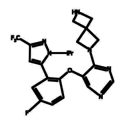 CC(C)n1nc(C(F)(F)F)cc1-c1cc(F)ccc1Oc1cncnc1N1CC2(CNC2)C1